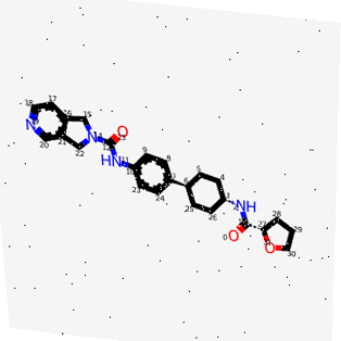 O=C(N[C@H]1CC[C@H](c2ccc(NC(=O)N3Cc4ccncc4C3)cc2)CC1)[C@@H]1CCCO1